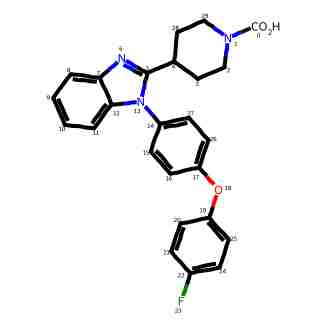 O=C(O)N1CCC(c2nc3ccccc3n2-c2ccc(Oc3ccc(F)cc3)cc2)CC1